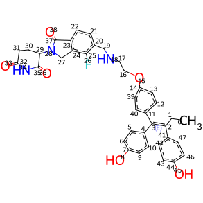 CC/C(=C(/c1ccc(O)cc1)c1ccc(OCCNCc2ccc3c(c2F)CN(C2CCC(=O)NC2=O)C3=O)cc1)c1ccc(O)cc1